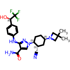 CC1(C)CN([C@@H]2CC[C@H](n3cc(C(N)=O)c(Nc4ccc([C@@H](O)C(F)(F)F)cc4)n3)[C@@H](C#N)C2)C1